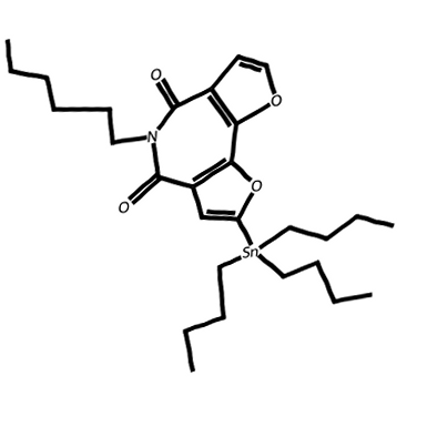 CCCCCCn1c(=O)c2ccoc2c2o[c]([Sn]([CH2]CCC)([CH2]CCC)[CH2]CCC)cc2c1=O